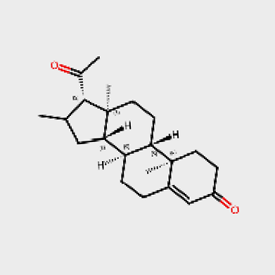 CC(=O)[C@H]1C(C)C[C@H]2[C@@H]3CCC4=CC(=O)CC[C@]4(C)[C@H]3CC[C@]12C